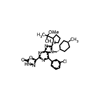 COC(C)(C)C1CCCN1c1nc2nc(-c3n[nH]c(=O)o3)nc(-c3cccc(Cl)c3)c2n1C[C@H]1CC[C@H](C)CC1